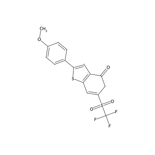 COc1ccc(-c2[c]c3c(s2)C=C(S(=O)(=O)C(F)(F)F)CC3=O)cc1